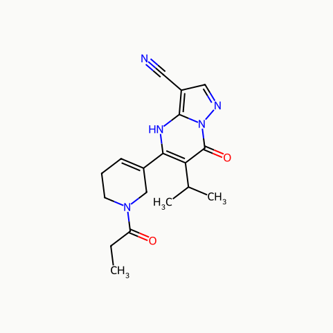 CCC(=O)N1CCC=C(c2[nH]c3c(C#N)cnn3c(=O)c2C(C)C)C1